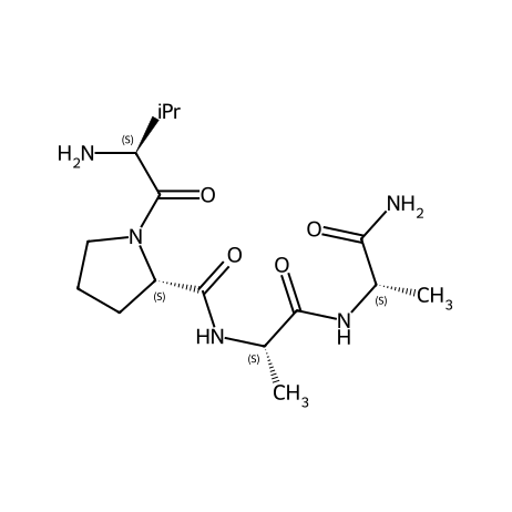 CC(C)[C@H](N)C(=O)N1CCC[C@H]1C(=O)N[C@@H](C)C(=O)N[C@@H](C)C(N)=O